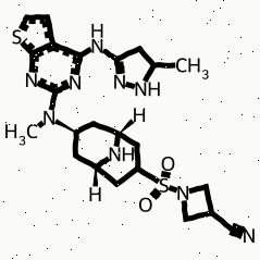 CC1CC(Nc2nc(N(C)[C@@H]3C[C@H]4CC(S(=O)(=O)N5CC(C#N)C5)C[C@@H](C3)N4)nc3sccc23)=NN1